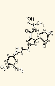 C[C@H](CO)NC(=O)c1cn(CCCNc2ccc([N+](=O)[O-])c(N)n2)cc1-c1ccc(F)cc1Cl